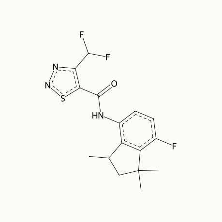 CC1CC(C)(C)c2c(F)ccc(NC(=O)c3snnc3C(F)F)c21